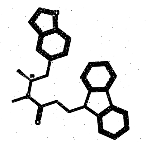 C[C@H](Cc1ccc2occc2c1)N(C)C(=O)CCC1c2ccccc2-c2ccccc21